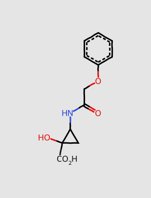 O=C(COc1ccccc1)NC1CC1(O)C(=O)O